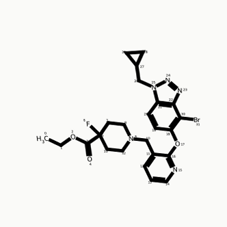 CCOC(=O)C1(F)CCN(Cc2cccnc2Oc2ccc3c(nnn3CC3CC3)c2Br)CC1